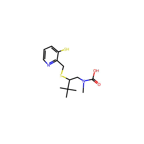 CN(CC(SCc1ncccc1S)C(C)(C)C)C(=O)O